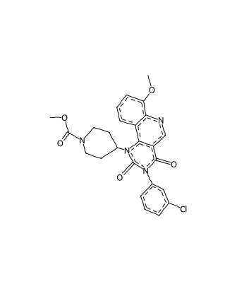 COC(=O)N1CCC(n2c(=O)n(-c3cccc(Cl)c3)c(=O)c3cnc4c(OC)cccc4c32)CC1